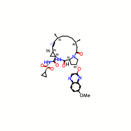 COc1ccc2ncc(O[C@@H]3C[C@H]4C(=O)N[C@]5(C(=O)NS(=O)(=O)C6CC6)C[C@H]5/C=C\[C@@H](C)CCC[C@@H](C)CC(=O)N4C3)nc2c1